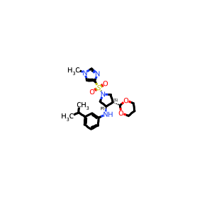 CC(C)c1cccc(N[C@H]2CN(S(=O)(=O)c3cn(C)cn3)C[C@@H]2C2OCCCO2)c1